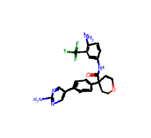 Nc1ncc(-c2ccc(C3(C(=O)Nc4ccc(N)c(C(F)(F)F)c4)CCOCC3)cc2)cn1